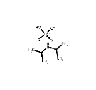 CC(C)NC(C)C.[O-][Cl+3]([O-])([O-])O